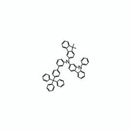 CC1(C)c2ccccc2-c2cc(N(c3cccc(-c4ccc(C(c5ccccc5)(c5ccccc5)c5ccccc5)cc4)c3)c3ccc4c5ccccc5n(-c5ccccc5)c4c3)ccc21